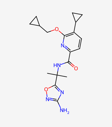 CC(C)(NC(=O)c1ccc(C2CC2)c(OCC2CC2)n1)c1nc(N)no1